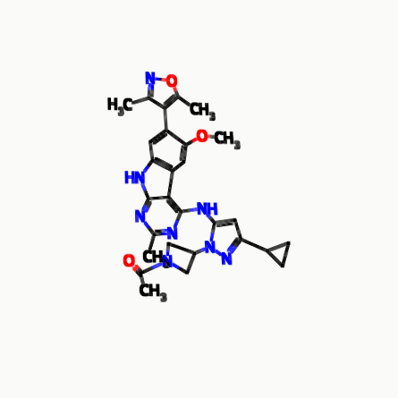 COc1cc2c(cc1-c1c(C)noc1C)[nH]c1nc(C)nc(Nc3cc(C4CC4)nn3C3CN(C(C)=O)C3)c12